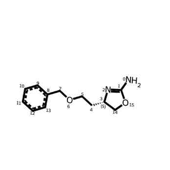 NC1=N[C@@H](CCOCc2ccccc2)CO1